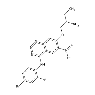 CCC(N)COc1cc2ncnc(Nc3ccc(Br)cc3F)c2cc1[N+](=O)[O-]